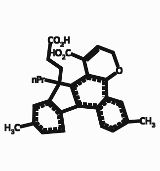 CCCC1(CCC(=O)O)c2cc(C)ccc2-c2c1c1c(c3cc(C)ccc23)OCC=C1C(=O)O